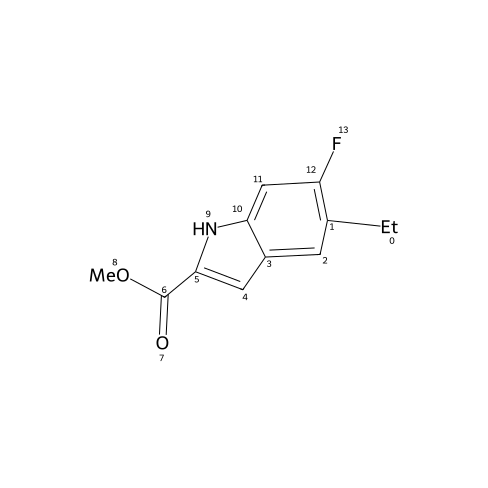 CCc1cc2cc(C(=O)OC)[nH]c2cc1F